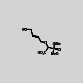 COP(=O)(OC)C(OCC=CCO)C(=O)O